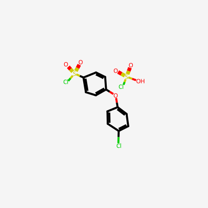 O=S(=O)(Cl)c1ccc(Oc2ccc(Cl)cc2)cc1.O=S(=O)(O)Cl